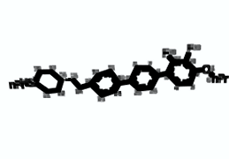 CCCOc1ccc(-c2ccc(-c3ccc(CC[C@H]4CC[Si@H](CCC)CC4)cc3)cc2)c(F)c1F